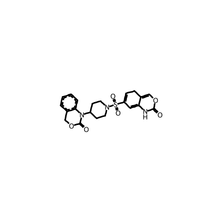 O=C1NC2=CC(S(=O)(=O)N3CCC(N4C(=O)OCc5ccccc54)CC3)=CCC2=CO1